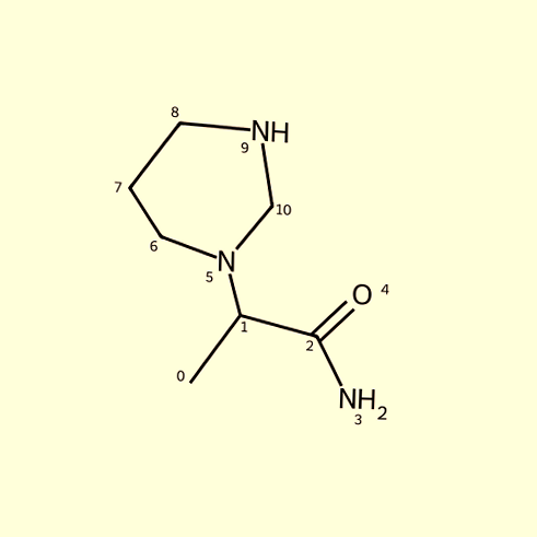 CC(C(N)=O)N1CCCNC1